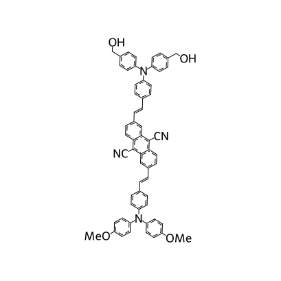 COc1ccc(N(c2ccc(C=Cc3ccc4c(C#N)c5cc(C=Cc6ccc(N(c7ccc(CO)cc7)c7ccc(CO)cc7)cc6)ccc5c(C#N)c4c3)cc2)c2ccc(OC)cc2)cc1